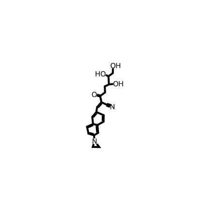 N#C/C(=C\c1ccc2cc(N3CC3)ccc2c1)C(=O)CCC(O)C(O)CO